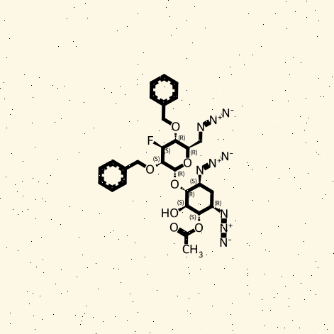 CC(=O)O[C@@H]1[C@@H](O)[C@H](O[C@H]2O[C@H](CN=[N+]=[N-])[C@@H](OCc3ccccc3)[C@H](F)[C@H]2OCc2ccccc2)[C@@H](N=[N+]=[N-])C[C@H]1N=[N+]=[N-]